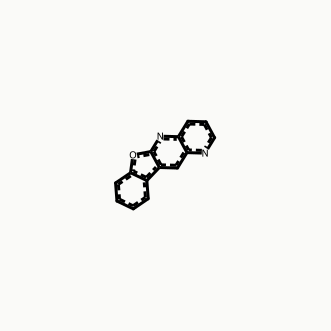 c1cnc2cc3c(nc2c1)oc1ccccc13